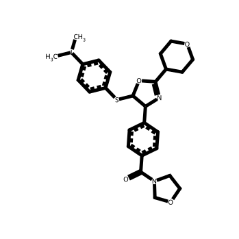 CI(C)c1ccc(SC2OC(C3CCOCC3)=NC2c2ccc(C(=O)N3CCOC3)cc2)cc1